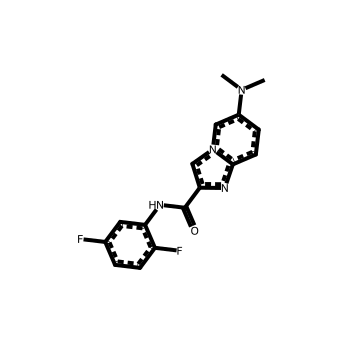 CN(C)c1ccc2nc(C(=O)Nc3cc(F)ccc3F)cn2c1